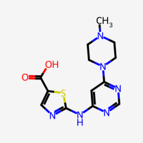 CN1CCN(c2cc(Nc3ncc(C(=O)O)s3)ncn2)CC1